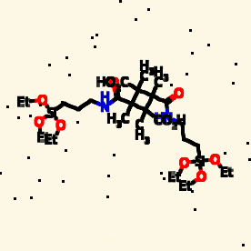 CCO[Si](CCCNC(=O)C1(C)C(C)(C(=O)O)C(C)(C(=O)NCCC[Si](OCC)(OCC)OCC)C1(C)C(=O)O)(OCC)OCC